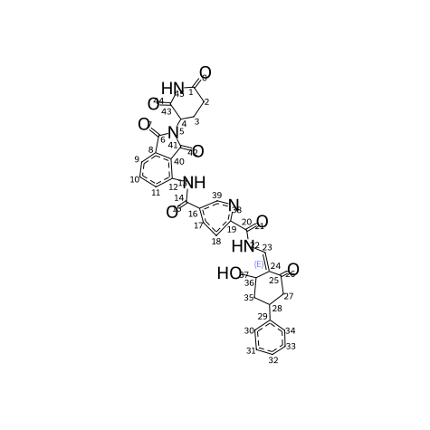 O=C1CCC(N2C(=O)c3cccc(NC(=O)c4ccc(C(=O)N/C=C5/C(=O)CC(c6ccccc6)CC5O)nc4)c3C2=O)C(=O)N1